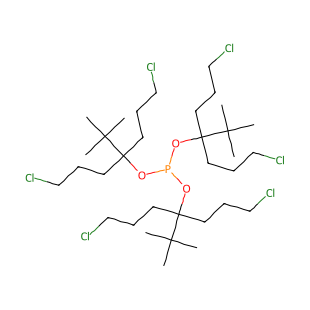 CC(C)(C)C(CCCCl)(CCCCl)OP(OC(CCCCl)(CCCCl)C(C)(C)C)OC(CCCCl)(CCCCl)C(C)(C)C